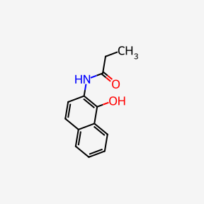 CCC(=O)Nc1ccc2ccccc2c1O